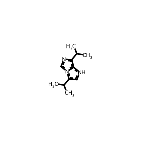 CC(C)c1ncn2c(C(C)C)c[nH]c12